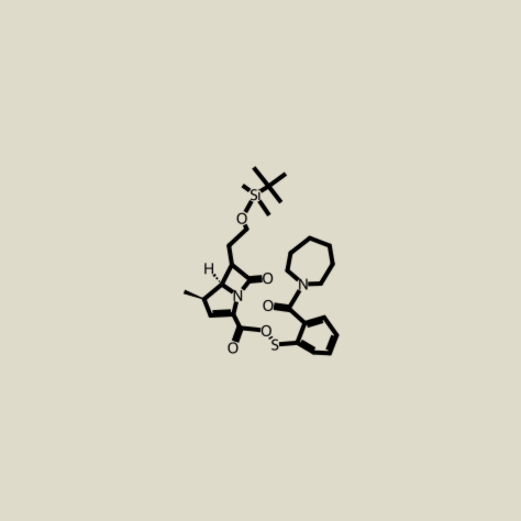 C[C@@H]1C=C(C(=O)OSc2ccccc2C(=O)N2CCCCCC2)N2C(=O)C(CCO[Si](C)(C)C(C)(C)C)[C@H]12